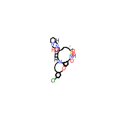 C[C@@H]1[C@@H](C)C/C=C/C(O)(CN2CCN3CCCC[C@@H]3C2)[C@@H]2CC[C@H]2CN2CCCCc3cc(Cl)ccc3COc3ccc(cc32)C(=O)NS1(=O)=O